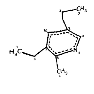 CCc1cnc(C)c(CC)c1